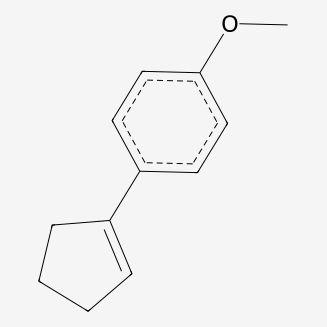 COc1ccc(C2=CCCC2)cc1